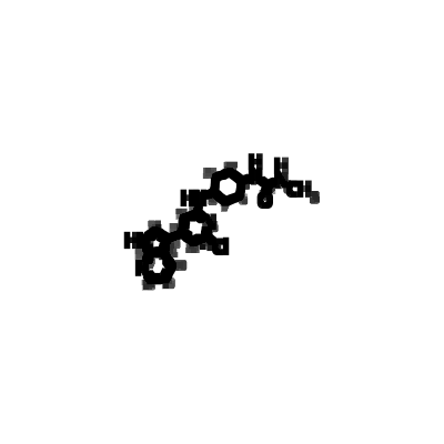 CNC(=O)NC1CCC(Nc2cc(-c3c[nH]c4ncccc34)cc(Cl)n2)CC1